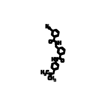 CN(C)Cc1ccc(NC(=O)c2cccc(CNC(=O)c3cccc(C#N)c3)c2)cc1